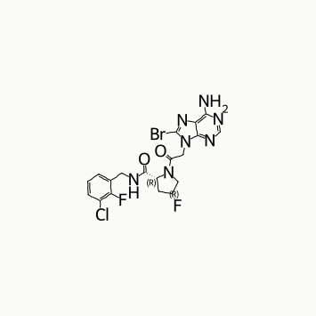 Nc1ncnc2c1nc(Br)n2CC(=O)N1C[C@H](F)C[C@@H]1C(=O)NCc1cccc(Cl)c1F